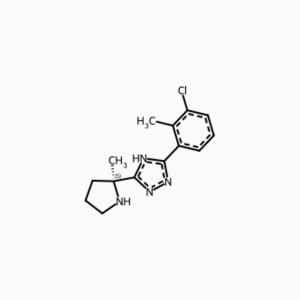 Cc1c(Cl)cccc1-c1nnc([C@]2(C)CCCN2)[nH]1